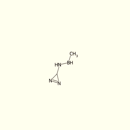 CBNC1N=N1